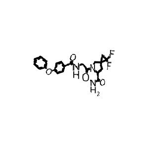 NC(=O)C1CC2(CN1C(=O)CNC(=O)c1ccc(Oc3ccccc3)cc1)CC2(F)F